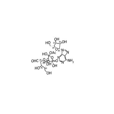 CC(=O)OP(=O)(O)OP(=O)(O)O.Nc1ncnc2c1ncn2[C@@H]1O[C@H](CO)[C@@H](O)[C@H]1O.O=C[C@H](O)[C@H](O)[C@H](O)CO